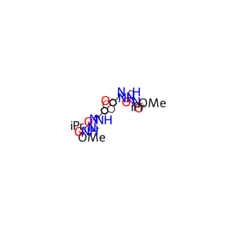 COC(=O)NC(C(=O)N1CCC[C@H]1c1ncc(-c2cc3c4c(c2)COc2cc(-c5cnc([C@@H]6CCCN6C(=O)[C@@H](NC(=O)OC)C(C)C)[nH]5)cc(c2-4)CC3)[nH]1)C(C)C